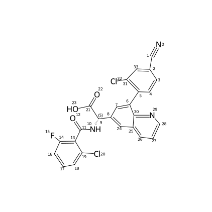 N#Cc1ccc(-c2cc([C@H](NC(=O)c3c(F)cccc3Cl)C(=O)O)cc3cccnc23)c(Cl)c1